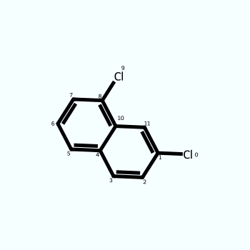 Clc1ccc2cccc(Cl)c2c1